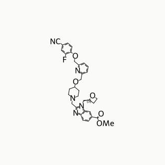 COC(=O)c1ccc2nc(CN3CCC(OCc4cccc(COc5ccc(C#N)cc5F)n4)CC3)n(C[C@@H]3CCO3)c2c1